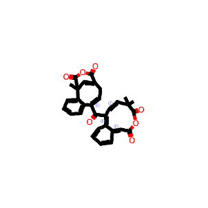 CC1(C)\C=C/C(C(=O)/C2=C/CC3=CC(C)(C(=O)OC3=O)c3ccccc32)=c2/cccc/c2=C\C(=O)OC1=O